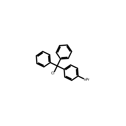 CCCc1ccc(C(Cl)(c2ccccc2)c2ccccc2)cc1